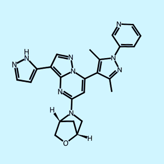 Cc1nn(-c2cccnc2)c(C)c1-c1cc(N2C[C@H]3C[C@@H]2CO3)nc2c(-c3ccn[nH]3)cnn12